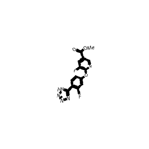 COC(=O)c1cnc(Oc2ccc(-c3nnn[nH]3)c(F)c2)c(F)c1